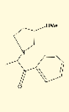 COC1CCN(C(C)C(=O)c2ccccc2)C1